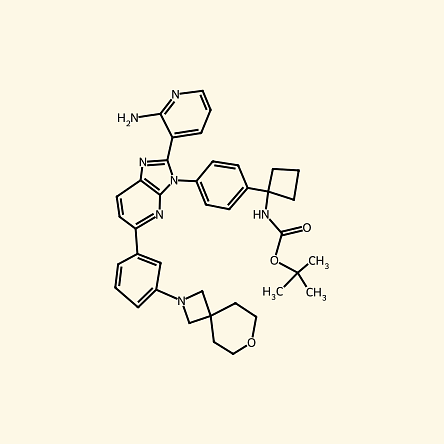 CC(C)(C)OC(=O)NC1(c2ccc(-n3c(-c4cccnc4N)nc4ccc(-c5cccc(N6CC7(CCOCC7)C6)c5)nc43)cc2)CCC1